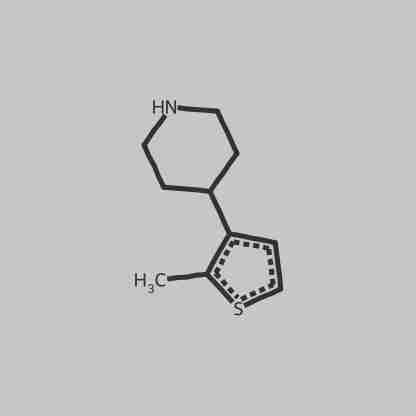 Cc1sccc1C1CCNCC1